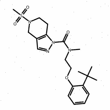 CN(CCOc1ccccc1C(C)(C)C)C(=O)n1ncc2c1CCN(S(C)(=O)=O)C2